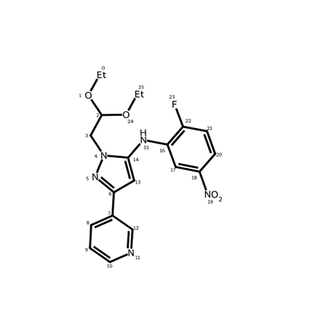 CCOC(Cn1nc(-c2cccnc2)cc1Nc1cc([N+](=O)[O-])ccc1F)OCC